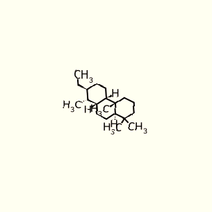 CC[C@H]1CC[C@H]2[C@H](CC[C@@H]3C(C)(C)CCC[C@]32C)[C@@H]1C